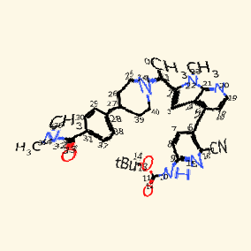 CC(c1cc2c(-c3ccc(NC(=O)OC(C)(C)C)nc3C#N)ccnc2n1C)N1CCC(c2ccc(C(=O)N(C)C)cc2)CC1